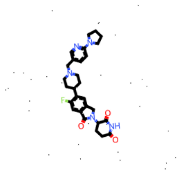 O=C1CCC(N2Cc3cc(C4CCN(Cc5ccc(N6CCCC6)nc5)CC4)c(F)cc3C2=O)C(=O)N1